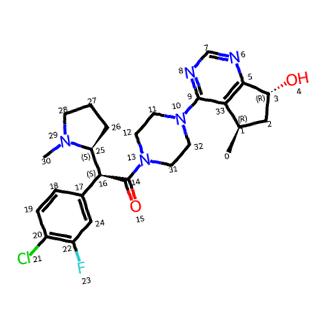 C[C@@H]1C[C@@H](O)c2ncnc(N3CCN(C(=O)[C@@H](c4ccc(Cl)c(F)c4)[C@@H]4CCCN4C)CC3)c21